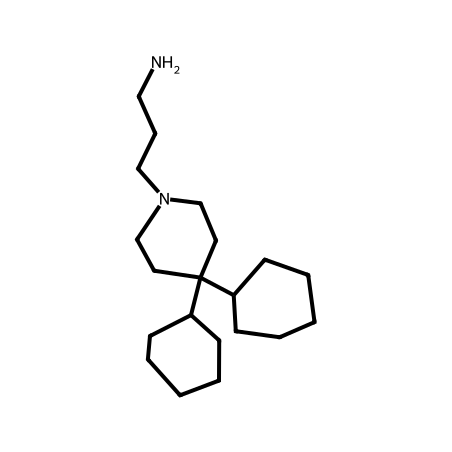 NCCCN1CCC(C2CCCCC2)(C2CCCCC2)CC1